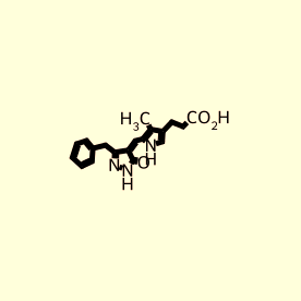 Cc1c(CCC(=O)O)c[nH]c1C=C1C(=O)NN=C1Cc1ccccc1